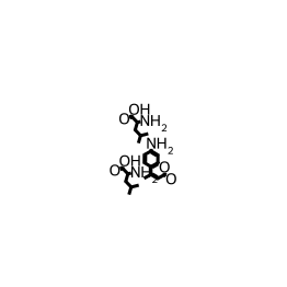 CC(C)CC(N)C(=O)O.CC(C)CC(N)C(=O)O.Cc1cc(=O)oc2cc(N)ccc12